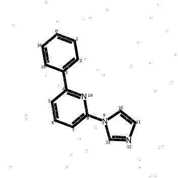 c1ccc(-c2cccc(-n3ccnc3)n2)cc1